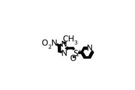 Cn1c([N+](=O)[O-])cnc1C[S+]([O-])c1cccnc1